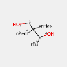 CCCCCCC(CO)(CCCCC)C(O)C(C)(C)C